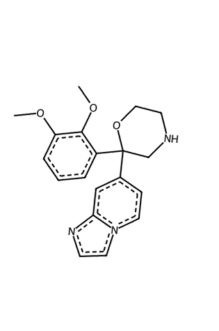 COc1cccc(C2(c3ccn4ccnc4c3)CNCCO2)c1OC